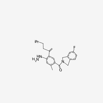 C=C(CCC(C)C)c1cc(C(=O)N2Cc3ccc(F)cc3C2)c(C)cc1NN